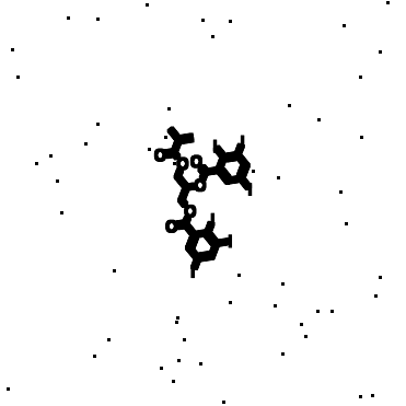 C=C(C)C(=O)OCC(COC(=O)c1cc(I)cc(I)c1I)OC(=O)c1cc(I)cc(I)c1I